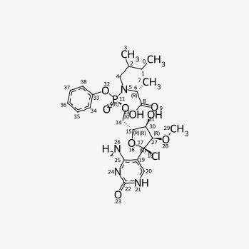 CCC(C)CN([C@H](C)C(=O)O)[P@@](=O)(OC[C@H]1O[C@@](Cl)(c2c[nH]c(=O)nc2N)[C@H](OC)[C@@H]1O)Oc1ccccc1